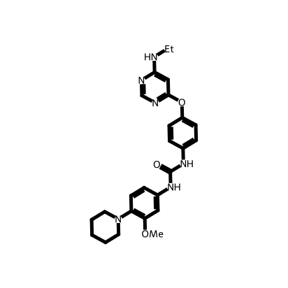 CCNc1cc(Oc2ccc(NC(=O)Nc3ccc(N4CCCCC4)c(OC)c3)cc2)ncn1